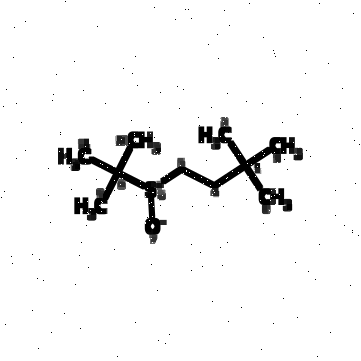 CC(C)(C)CC[S+]([O-])C(C)(C)C